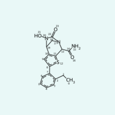 CCc1ccccc1-c1cc2c(s1)C(C(N)=O)N1CC2N(O)C1=O